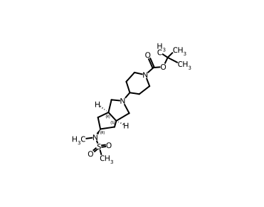 CN([C@@H]1C[C@@H]2CN(C3CCN(C(=O)OC(C)(C)C)CC3)C[C@@H]2C1)S(C)(=O)=O